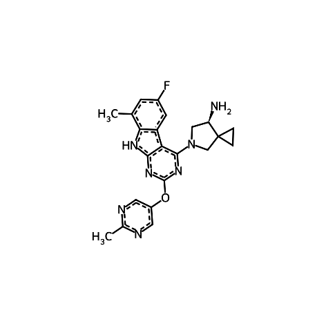 Cc1ncc(Oc2nc(N3C[C@@H](N)C4(CC4)C3)c3c(n2)[nH]c2c(C)cc(F)cc23)cn1